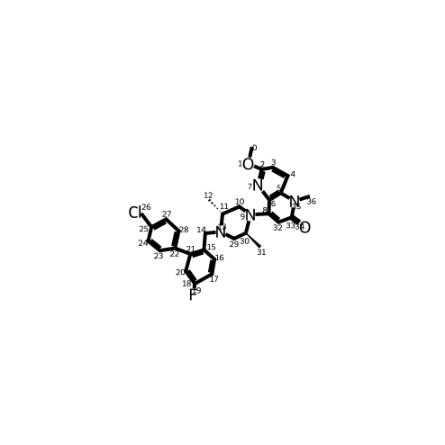 COc1ccc2c(n1)c(N1C[C@@H](C)N(Cc3ccc(F)cc3-c3ccc(Cl)cc3)C[C@@H]1C)cc(=O)n2C